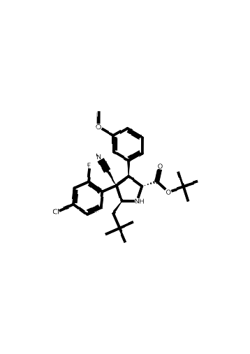 COc1cccc([C@H]2[C@H](C(=O)OC(C)(C)C)N[C@@H](CC(C)(C)C)[C@]2(C#N)c2ccc(Cl)cc2F)c1